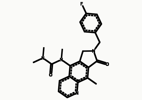 Cc1c2c(c(N(C)C(=O)N(C)C)c3cccnc13)CN(Cc1ccc(F)cc1)C2=O